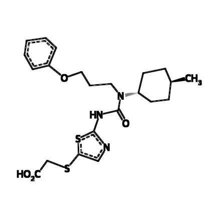 C[C@H]1CC[C@H](N(CCCOc2ccccc2)C(=O)Nc2ncc(SCC(=O)O)s2)CC1